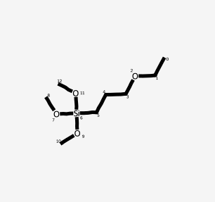 CCOCCC[Si](OC)(OC)OC